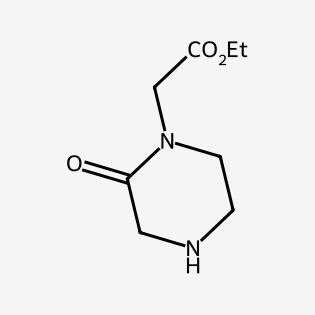 CCOC(=O)CN1CCNCC1=O